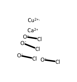 [Ca+2].[Cu+2].[O-]Cl.[O-]Cl.[O-]Cl.[O-]Cl